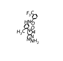 Cc1ccc(NC(=O)c2cccc(C(F)(F)F)c2)cc1N1Cc2cnc(N)nc2C2(CC2)C1=O